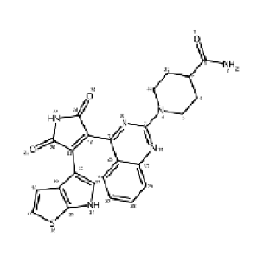 NC(=O)C1CCN(c2nc(C3=C(c4c[nH]c5sccc45)C(=O)NC3=O)c3ccccc3n2)CC1